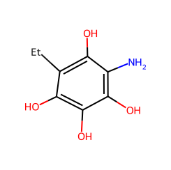 CCc1c(O)c(N)c(O)c(O)c1O